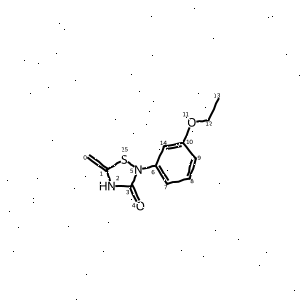 C=C1NC(=O)N(c2cccc(OCC)c2)S1